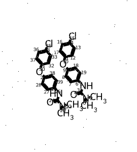 CN(C)C(=O)Nc1ccc(Oc2ccc(Cl)cc2)cc1.CN(C)C(=O)Nc1ccc(Oc2ccc(Cl)cc2)cc1